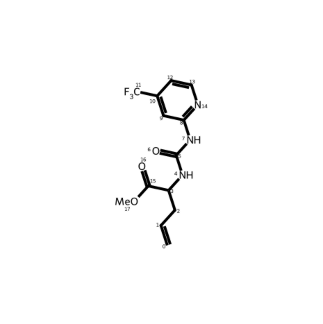 C=CCC(NC(=O)Nc1cc(C(F)(F)F)ccn1)C(=O)OC